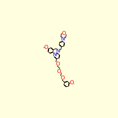 COc1cccc(COCCOCCOCc2ccc(N(Cc3ccc(N4CCOCC4)cc3)Cc3cccc(OC)c3)nc2)c1